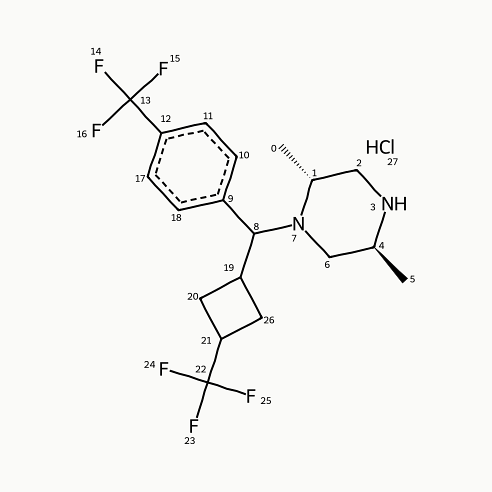 C[C@@H]1CN[C@@H](C)CN1C(c1ccc(C(F)(F)F)cc1)C1CC(C(F)(F)F)C1.Cl